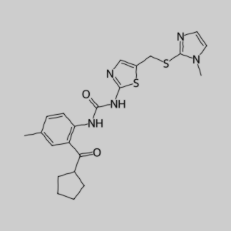 Cc1ccc(NC(=O)Nc2ncc(CSc3nccn3C)s2)c(C(=O)C2CCCC2)c1